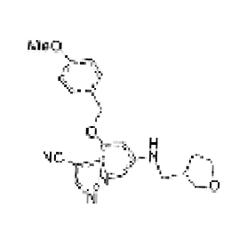 COc1ccc(COc2cc(NCC3CCOC3)cn3ncc(C#N)c23)cc1